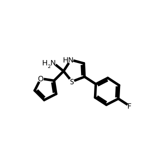 NC1(c2ccco2)NC=C(c2ccc(F)cc2)S1